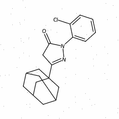 O=C1CC(C23CC4CC(CC(C4)C2)C3)=NN1c1ccccc1Cl